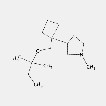 CCC(C)(C)OCC1(C2CCN(C)C2)CCC1